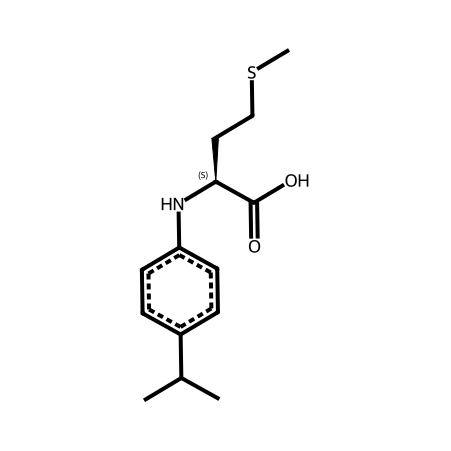 CSCC[C@H](Nc1ccc(C(C)C)cc1)C(=O)O